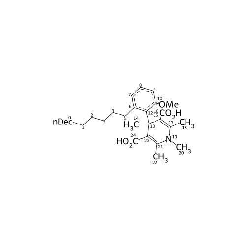 CCCCCCCCCCCCCCCc1cccc(OC)c1C1(C)C(C(=O)O)=C(C)N(C)C(C)=C1C(=O)O